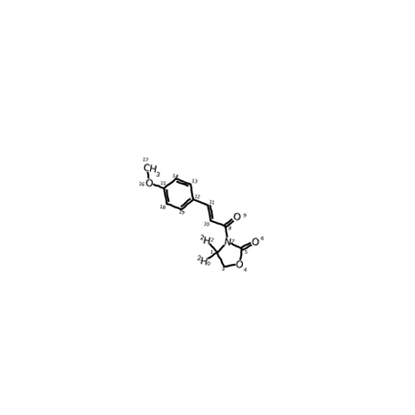 [2H]C1([2H])COC(=O)N1C(=O)C=Cc1ccc(OC)cc1